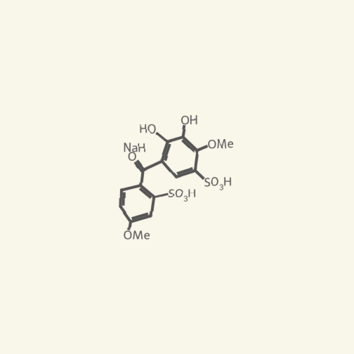 COc1ccc(C(=O)c2cc(S(=O)(=O)O)c(OC)c(O)c2O)c(S(=O)(=O)O)c1.[NaH]